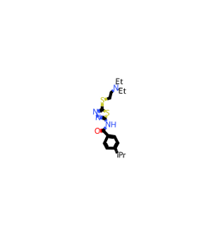 CCN(CC)CCSc1nnc(NC(=O)c2ccc(C(C)C)cc2)s1